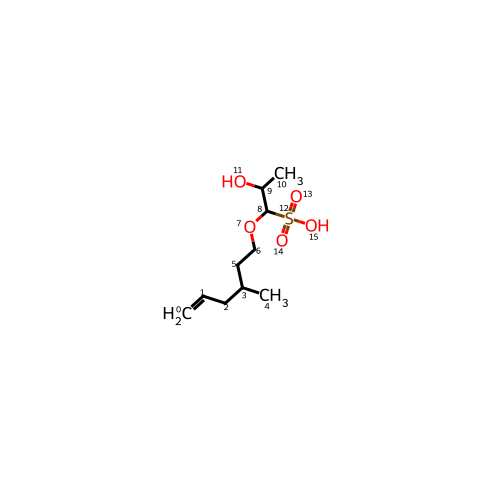 C=CCC(C)CCOC(C(C)O)S(=O)(=O)O